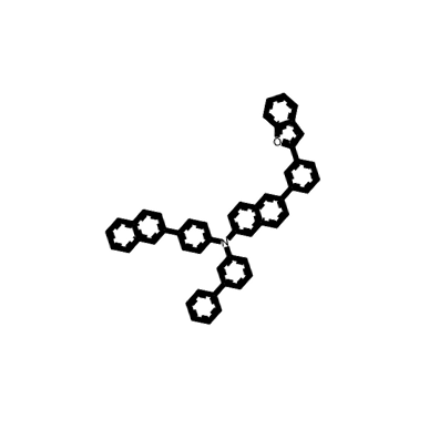 c1ccc(-c2cccc(N(c3ccc(-c4ccc5ccccc5c4)cc3)c3ccc4cc(-c5cccc(-c6cc7ccccc7o6)c5)ccc4c3)c2)cc1